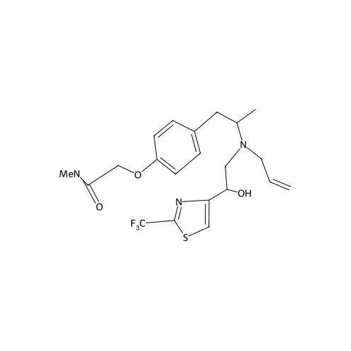 C=CCN(CC(O)c1csc(C(F)(F)F)n1)C(C)Cc1ccc(OCC(=O)NC)cc1